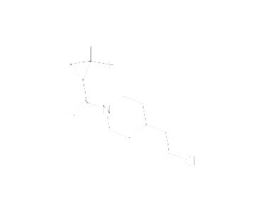 O=C(C1CC1(F)F)N1CCC(CCCl)CC1